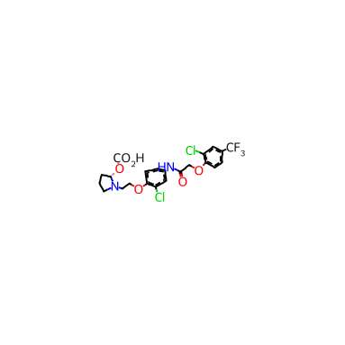 O=C(COc1ccc(C(F)(F)F)cc1Cl)Nc1ccc(OCCN2CCC[C@@H]2OC(=O)O)c(Cl)c1